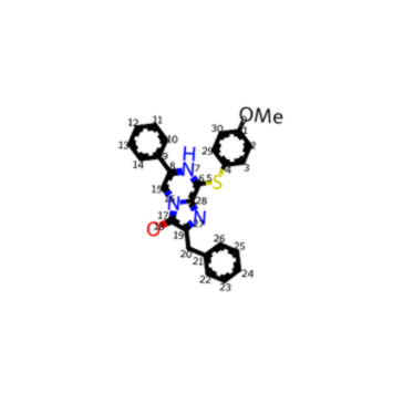 COc1ccc(Sc2[nH]c(-c3ccccc3)cn3c(=O)c(Cc4ccccc4)nc2-3)cc1